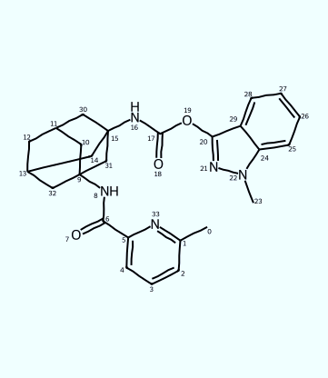 Cc1cccc(C(=O)NC23CC4CC(CC(NC(=O)Oc5nn(C)c6ccccc56)(C4)C2)C3)n1